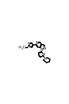 CCn1cc(-c2cc3c(cn2)cnn3-c2cccc(N3CCCCC3)n2)cn1